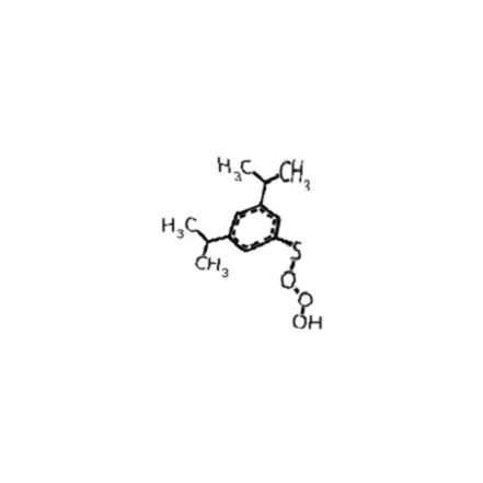 CC(C)c1cc(SOOO)cc(C(C)C)c1